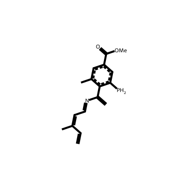 C=C/C(C)=C\C=N\C(=C)c1c(C)cc(C(=O)OC)cc1P